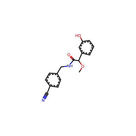 COC(C(=O)NCc1ccc(C#N)cc1)c1cccc(O)c1